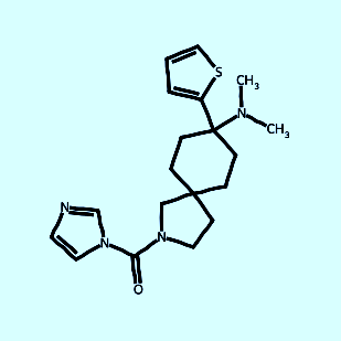 CN(C)C1(c2cccs2)CCC2(CCN(C(=O)n3ccnc3)C2)CC1